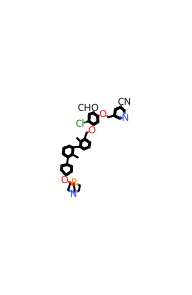 Cc1c(COc2cc(OCc3cncc(C#N)c3)c(C=O)cc2Cl)cccc1-c1cccc(-c2ccc(OC3CN4CCP3CC4)cc2)c1C